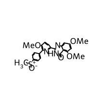 COc1cc(OC)c2c(=O)[nH]c(-c3ccc(OC)c(-c4ccc([S+](C)[O-])cc4)n3)nc2c1